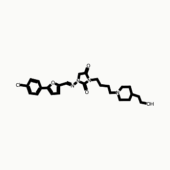 O=C1CN(N=Cc2ccc(-c3ccc(Cl)cc3)o2)C(=O)N1CCCCN1CCC(CCO)CC1